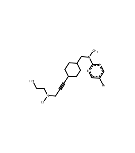 CCN(CC#CC1CCC(CN(C)c2ncc(Br)cn2)CC1)CCO